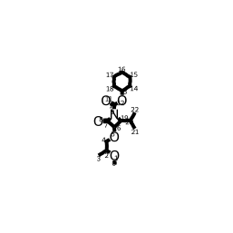 COC(C)COC1C(=O)N(C(=O)OC2CCCCC2)C1C(C)C